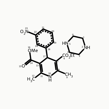 C1CNCCN1.CCOC(=O)C1=C(C)NC(C)=C(C(=O)OC)C1c1cccc([N+](=O)[O-])c1